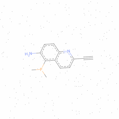 C#Cc1ccc2c(P(C)C)c(N)ccc2n1